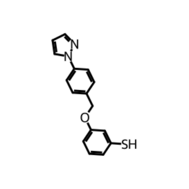 Sc1cccc(OCc2ccc(-n3cccn3)cc2)c1